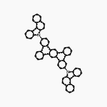 c1ccc2c(c1)ccc1c2c2ccccc2n1-c1ccc2c(c1)c1ccccc1c1cc3c4ccc(-n5c6ccccc6c6c7ccccc7ccc65)cc4c4ccccc4c3cc21